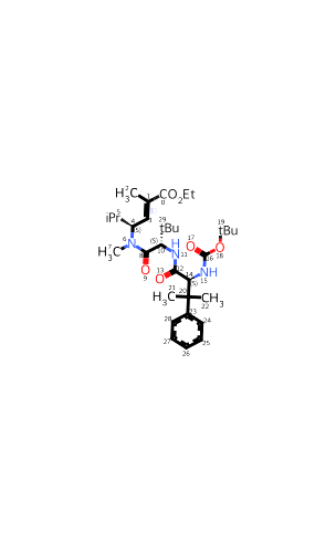 CCOC(=O)/C(C)=C/[C@H](C(C)C)N(C)C(=O)[C@@H](NC(=O)[C@@H](NC(=O)OC(C)(C)C)C(C)(C)c1ccccc1)C(C)(C)C